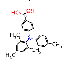 Cc1ccc(N(c2ccc(B(O)O)cc2)c2c(C)cc(C)cc2C)cc1